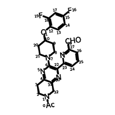 CC(=O)N1CCc2nc(N3CCC(Oc4ccc(F)cc4F)CC3)c(-c3cccc(C=O)n3)nc2C1